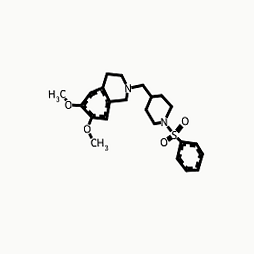 COc1cc2c(cc1OC)CN(CC1CCN(S(=O)(=O)c3ccccc3)CC1)CC2